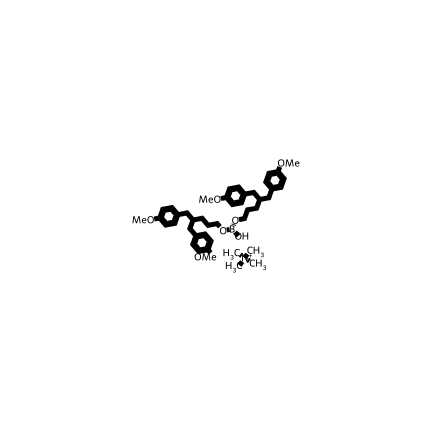 COc1ccc(CC(CCCOB(O)OCCCC(Cc2ccc(OC)cc2)Cc2ccc(OC)cc2)Cc2ccc(OC)cc2)cc1.C[N+](C)(C)C